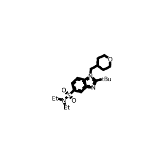 CCN(CC)S(=O)(=O)c1ccc2c(c1)nc(C(C)(C)C)n2CC1CCOCC1